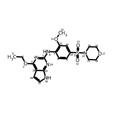 CCOc1nc(Nc2ccc(S(=O)(=O)N3CCOCC3)cc2OC)nc2[nH]ccc12